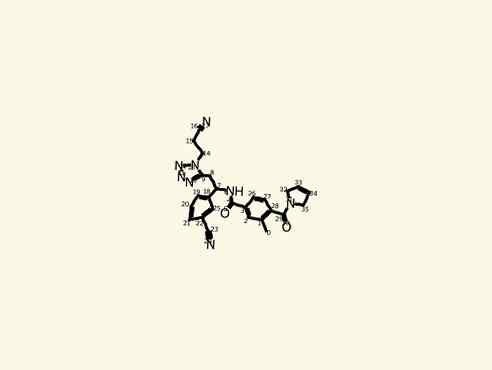 Cc1cc(C(=O)NC(Cc2nnnn2CCC#N)c2cccc(C#N)c2)ccc1C(=O)N1CC=CC1